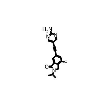 CC(C)N1Cc2c(F)cc(C#Cc3cnc(N)nc3)cc2C1=O